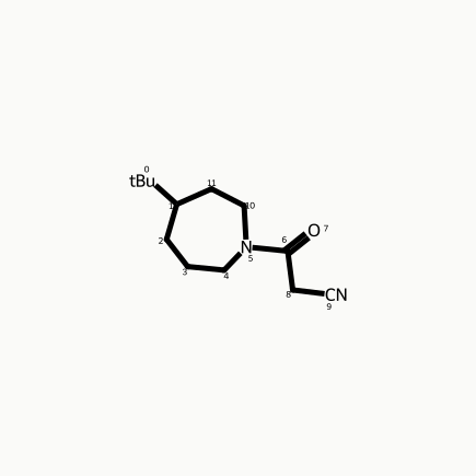 CC(C)(C)C1CCCN(C(=O)CC#N)CC1